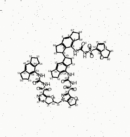 O=C(Nc1c2c(cc3c1C(C1CCc4c1cc1c(c4NC(=O)NS(=O)(=O)c4nn(CC5Cn6cnc(S(=O)(=O)NC(=O)Nc7c8c(cc9c7CCC9)CCC8)c6O5)c5c4OCC5)CCC1)CC3)CCC2)NS(=O)(=O)c1ccn2c1OCC2